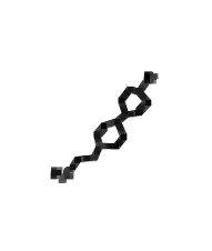 CCCC1C=CC(C2C=CC(Br)CC2)CC1